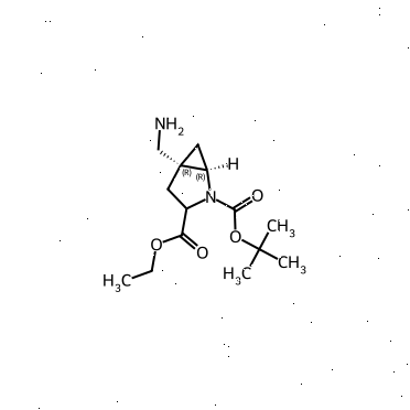 CCOC(=O)C1C[C@@]2(CN)C[C@H]2N1C(=O)OC(C)(C)C